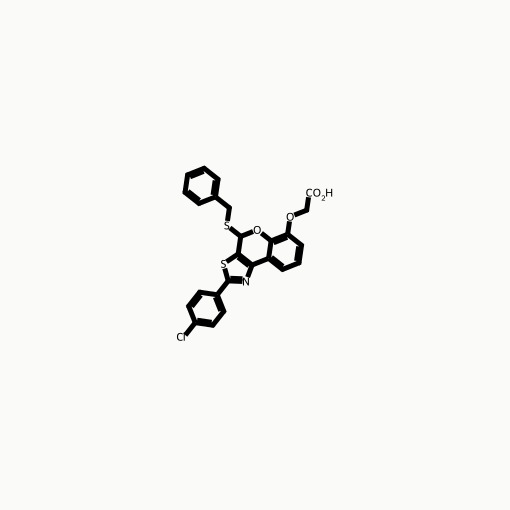 O=C(O)COc1cccc2c1OC(SCc1ccccc1)c1sc(-c3ccc(Cl)cc3)nc1-2